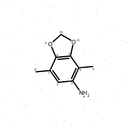 Cc1cc(N)c(C)c2c1OCO2